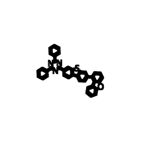 c1ccc(-c2nc(-c3ccccc3)nc(-c3ccc4c(c3)sc3cc(-c5cccc6oc7ccccc7c56)ccc34)n2)cc1